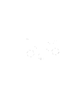 NC(=O)c1ccccc1N(CCC=O)CCC1NC(=O)c2ccccc2N1